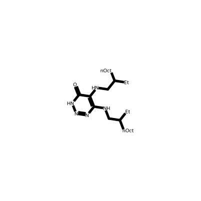 CCCCCCCCC(CC)CNc1nn[nH]c(=O)c1NCC(CC)CCCCCCCC